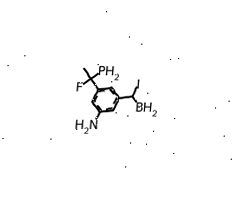 BC(I)c1cc(N)cc(C(C)(F)P)c1